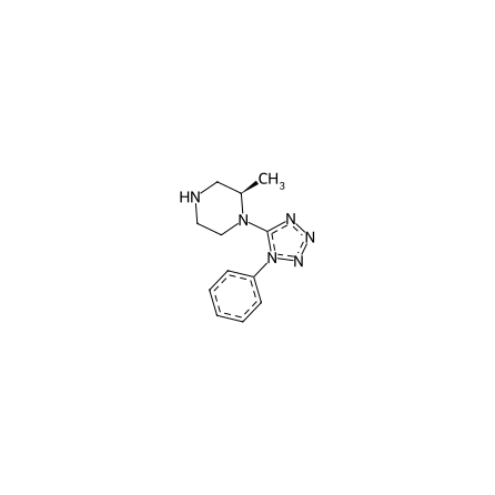 C[C@@H]1CNCCN1c1nnnn1-c1ccccc1